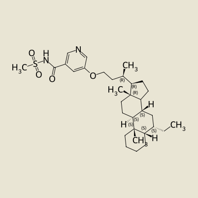 CC[C@H]1C[C@H]2C3CC[C@H]([C@H](C)CCOc4cncc(C(=O)NS(C)(=O)=O)c4)[C@@]3(C)CC[C@@H]2[C@@]2(C)CCCC[C@@H]12